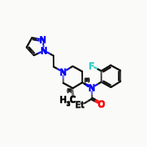 CCC(=O)N(c1ccccc1F)[C@@H]1CCN(CCn2cccn2)C[C@H]1C